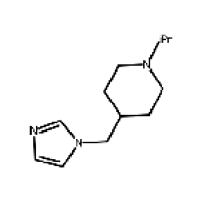 CC(C)N1CCC(Cn2ccnc2)CC1